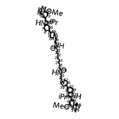 COc1cc(-c2[nH]c3ccc(C4CCN(CCNC(=O)CCCCCCCCC(=O)NCCN5CCC(c6ccc7[nH]c(-c8cc(OC)c9ncnn9c8)c(C(C)C)c7c6)CC5)CC4)cc3c2C(C)C)cn2ncnc12